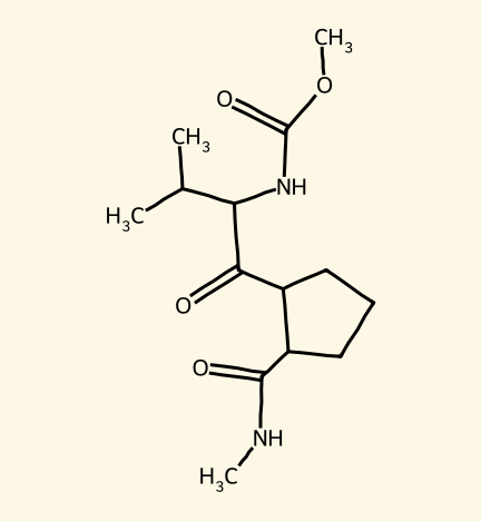 CNC(=O)C1CCCC1C(=O)C(NC(=O)OC)C(C)C